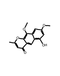 COc1cc(O)c2cc3c(=O)cc(C)oc3c(OC)c2c1